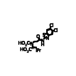 CC(C)C[C@@H](C(=O)O)N(CCC(=O)Nc1nc2cc(Cl)c(Cl)cc2s1)C(=O)O